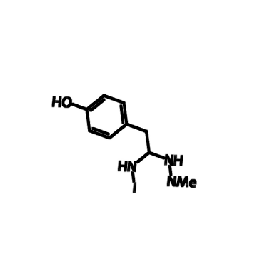 CNNC(Cc1ccc(O)cc1)NI